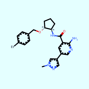 CCc1ccc(CO[C@@H]2CCC[C@H]2NC(=O)c2cc(-c3cnn(C)c3)cnc2N)cc1